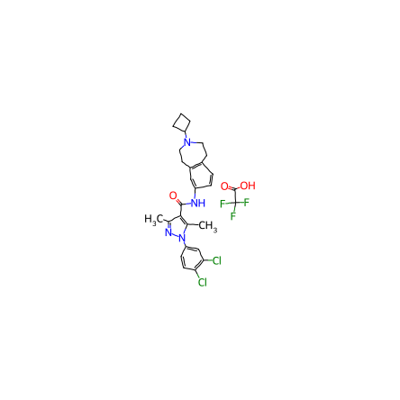 Cc1nn(-c2ccc(Cl)c(Cl)c2)c(C)c1C(=O)Nc1ccc2c(c1)CCN(C1CCC1)CC2.O=C(O)C(F)(F)F